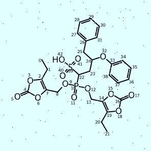 CCc1oc(=O)oc1COP(=O)(OCc1oc(=O)oc1CC)C(CC(Cc1ccccc1)Oc1ccccc1)S(=O)(=O)O